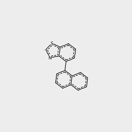 [c]1nc2c(-c3cccc4ccccc34)cccc2s1